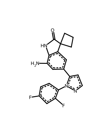 Nc1cc(-c2ccnn2-c2ccc(F)cc2F)cc2c1NC(=O)C21CCC1